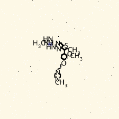 CN/C=C(\C=N)Nc1ncc2sc(C)c(-c3ccc(OCCCN4CCN(C)CC4)cc3OC)c2n1